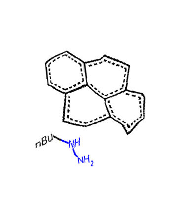 CCCCNN.c1cc2ccc3cccc4ccc(c1)c2c34